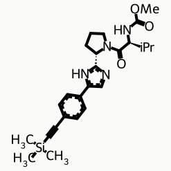 COC(=O)N[C@H](C(=O)N1CCC[C@H]1c1ncc(-c2ccc(C#C[Si](C)(C)C)cc2)[nH]1)C(C)C